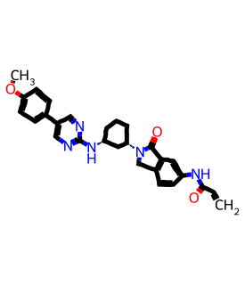 C=CC(=O)Nc1ccc2c(c1)C(=O)N([C@H]1CCC[C@@H](Nc3ncc(-c4ccc(OC)cc4)cn3)C1)C2